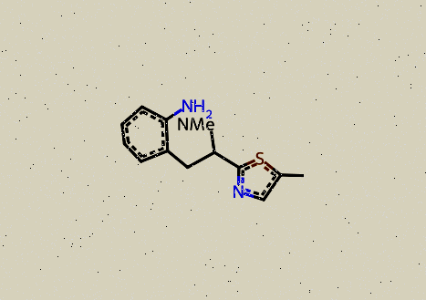 CNC(Cc1ccccc1N)c1ncc(C)s1